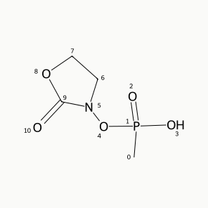 CP(=O)(O)ON1CCOC1=O